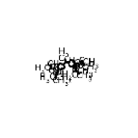 CCC(C1CCC(OOC(C)(C)C)(OOC(C)(C)C)CC1)C1CCC(OOC(C)(C)C)(OOC(C)(C)C)CC1